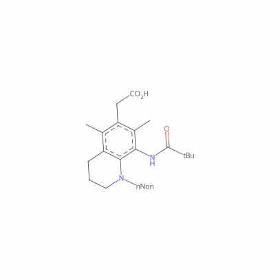 CCCCCCCCCN1CCCc2c(C)c(CC(=O)O)c(C)c(NC(=O)C(C)(C)C)c21